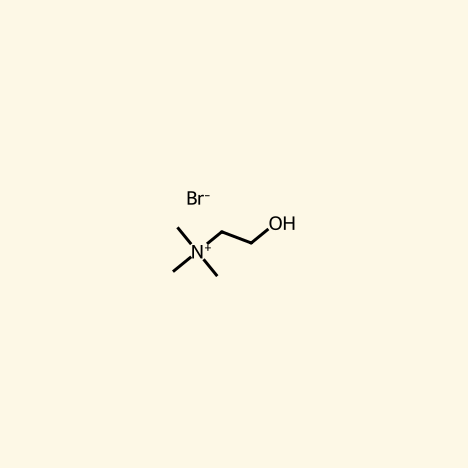 C[N+](C)(C)CCO.[Br-]